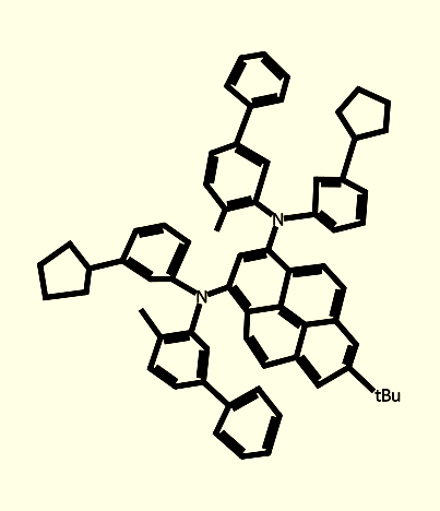 Cc1ccc(-c2ccccc2)cc1N(c1cccc(C2CCCC2)c1)c1cc(N(c2cccc(C3CCCC3)c2)c2cc(-c3ccccc3)ccc2C)c2ccc3cc(C(C)(C)C)cc4ccc1c2c43